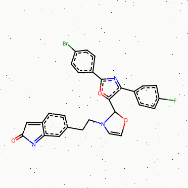 O=C1C=c2ccc(CCN3C=COC3c3oc(-c4ccc(Br)cc4)nc3-c3ccc(F)cc3)cc2=N1